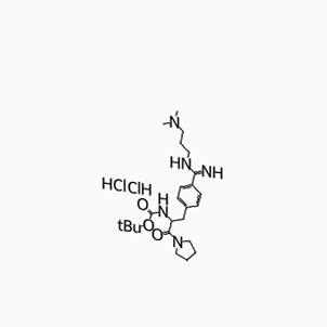 CN(C)CCCNC(=N)c1ccc(CC(NC(=O)OC(C)(C)C)C(=O)N2CCCC2)cc1.Cl.Cl